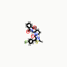 Cc1nc(C(=O)N2CCC[C@@H](C)C2CN2C(=O)c3ccccc3C2=O)c(-c2ccc(F)cc2)s1